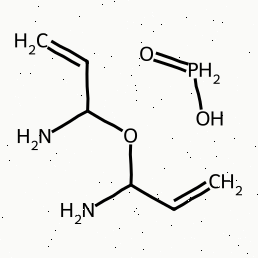 C=CC(N)OC(N)C=C.O=[PH2]O